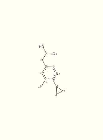 O=C(O)Cc1cnc(C2CC2)c(F)c1